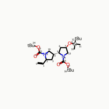 C=CC1CC([C@@H]2C[C@@H](O[Si](C)(C)C(C)(C)C)CN2C(=O)OC(C)(C)C)CN1C(=O)OC(C)(C)C